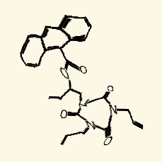 C=CCn1c(=O)n(CCC)c(=O)n(CC(CC)OC(=O)c2c3ccccc3cc3ccccc23)c1=O